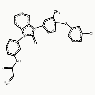 C=CC(=O)Nc1cccc(-n2c(=O)n(-c3ccc(Oc4cccc(Cl)c4)c(C)c3)c3cnccc32)c1